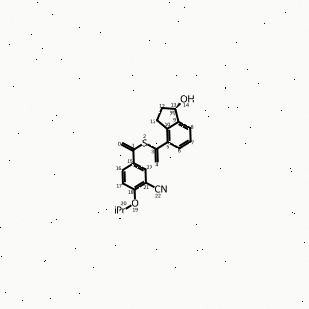 C=C(SC(=C)c1cccc2c1CC[C@H]2O)c1ccc(OC(C)C)c(C#N)c1